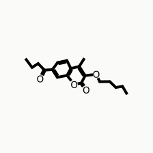 CCCCCOc1c(C)c2ccc(C(=O)CCC)cc2oc1=O